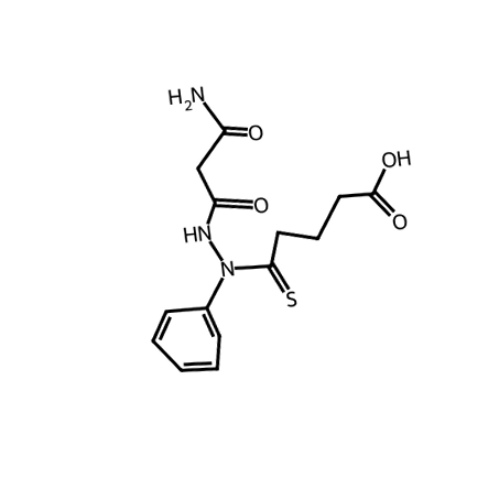 NC(=O)CC(=O)NN(C(=S)CCCC(=O)O)c1ccccc1